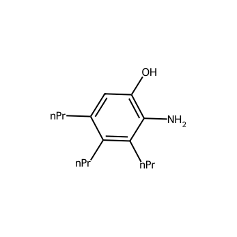 CCCc1cc(O)c(N)c(CCC)c1CCC